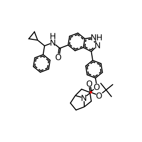 CC(C)(C)OC(=O)N1C2CCC1CC(Oc1ccc(-c3n[nH]c4ccc(C(=O)NC(c5ccccc5)C5CC5)cc34)cc1)C2